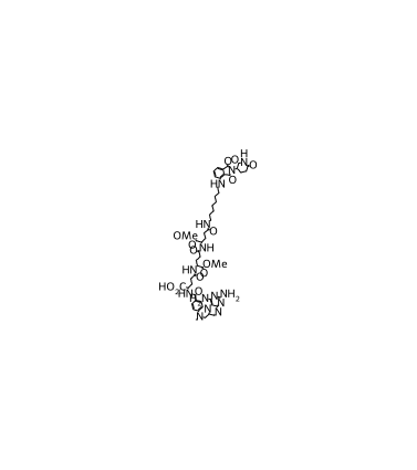 COC(=O)C(CCC(=O)NCCCCCCCCNc1cccc2c1C(=O)N(C1CCC(=O)NC1=O)C2=O)NC(=O)CCC(NC(=O)CCC(NC(=O)c1ccc(N(C)Cc2cnc3nc(N)nc(N)c3n2)cc1)C(=O)O)C(=O)OC